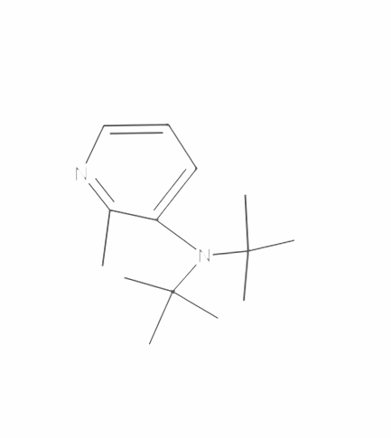 Cc1ncccc1N(C(C)(C)C)C(C)(C)C